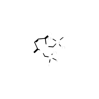 CC(C)[Si](COC(=O)/C=C\C(=O)OC[Si](C(C)C)(C(C)C)C(C)C)(C(C)C)C(C)C